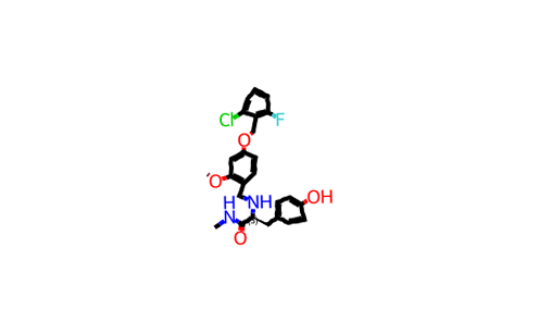 CNC(=O)[C@H](Cc1ccc(O)cc1)NCc1ccc(OCc2c(F)cccc2Cl)cc1OC